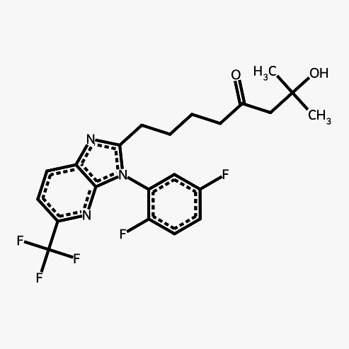 CC(C)(O)CC(=O)CCCCc1nc2ccc(C(F)(F)F)nc2n1-c1cc(F)ccc1F